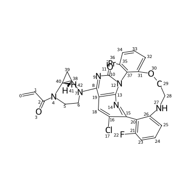 C=CC(=O)N1CCN(c2nc(=O)n3c4nc(c(Cl)cc24)-c2c(F)cccc2NCCOc2cccc(C(C)C)c2-3)[C@H]2C[C@H]21